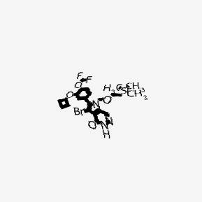 C[Si](C)(C)CCOCn1c(-c2ccc(OC(F)F)c(OC3CCC3)c2)c(Br)c2c(=O)[nH]ncc21